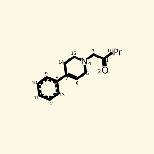 CC(C)C(=O)CN1CC=C(c2ccccc2)CC1